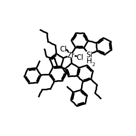 CCCCC1=Cc2c(ccc(CCC)c2-c2ccccc2C)[CH]1[Zr]([Cl])([Cl])([c]1cccc2c1[SiH2]c1ccccc1-2)[CH]1C(CCCC)=Cc2c1ccc(CCC)c2-c1ccccc1C